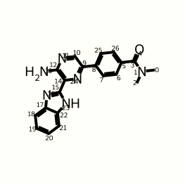 CN(C)C(=O)c1ccc(-c2cnc(N)c(-c3nc4ccccc4[nH]3)n2)cc1